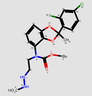 CC(C)(C)OC(=O)N(CCNNC(=O)O)c1cccc2c1OC(C)(c1ccc(Cl)cc1F)O2